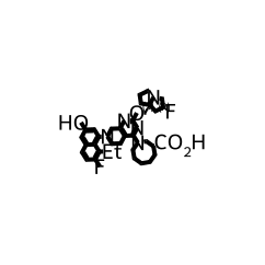 CCc1c(F)ccc2cc(O)cc(N3CCc4c(nc(OC[C@@]56CCCN5C[C@H](F)C6)nc4N4CCCCCC(C(=O)O)C4)C3)c12